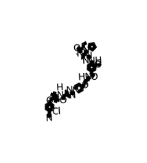 CCC1C(=O)N(C)c2cnc(Nc3ccc(C(=O)NCCOC4CCN(c5ncc(C(=O)NC6C(C)(C)C(Oc7ccc(C#N)c(Cl)c7)C6(C)C)cn5)CC4)cc3OC)nc2N1C1CCCC1